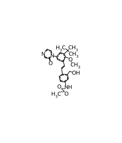 COc1c(/C=C/c2ccc(NS(C)(=O)=O)cc2CO)cc(-n2ccncc2=O)cc1C(C)(C)C